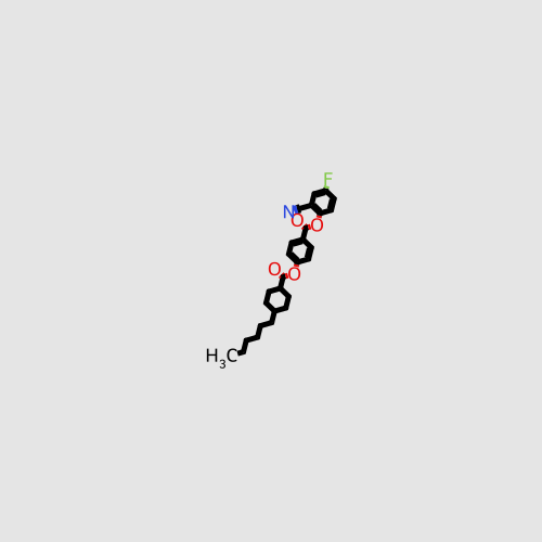 CCCCCCC1CCC(C(=O)Oc2ccc(C(=O)Oc3ccc(F)cc3C#N)cc2)CC1